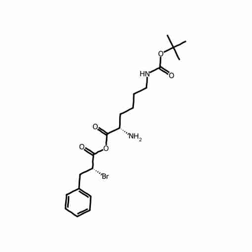 CC(C)(C)OC(=O)NCCCC[C@H](N)C(=O)OC(=O)[C@H](Br)Cc1ccccc1